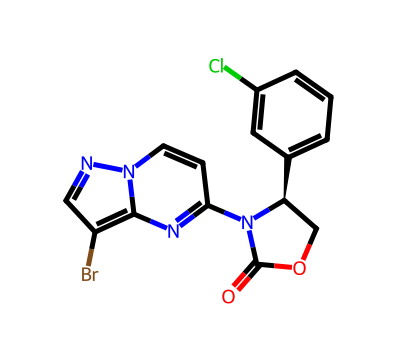 O=C1OC[C@H](c2cccc(Cl)c2)N1c1ccn2ncc(Br)c2n1